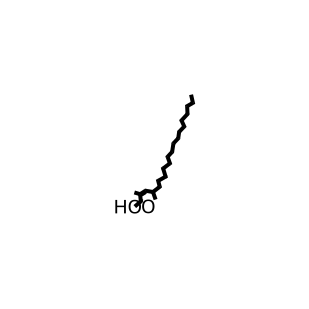 CCCCCCCCCCCCCCCCC(C)C=C(C)C(=O)O